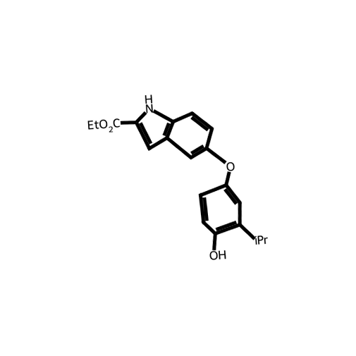 CCOC(=O)c1cc2cc(Oc3ccc(O)c(C(C)C)c3)ccc2[nH]1